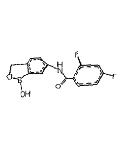 O=C(Nc1ccc2c(c1)B(O)OC2)c1ccc(F)cc1F